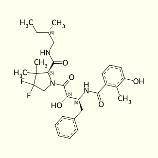 CC[C@H](C)CNC(=O)[C@H]1N(C(=O)[C@@H](O)[C@H](Cc2ccccc2)NC(=O)c2cccc(O)c2C)CC(F)(F)C1(C)C